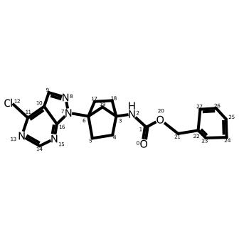 O=C(NC12CCC(n3ncc4c(Cl)ncnc43)(CC1)C2)OCc1ccccc1